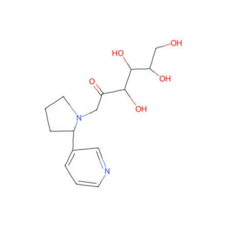 O=C(CN1CCCC1c1cccnc1)C(O)C(O)C(O)CO